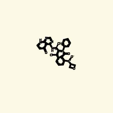 C[C@H](Nc1ncnc2[nH]ccc(=O)c12)c1c(Cl)c2cccc([S+]([O-])C3COC3)c2c(=O)n1-c1ccccc1